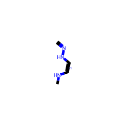 C=NN/C=C\NC